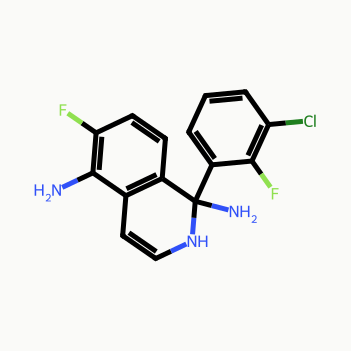 Nc1c(F)ccc2c1C=CNC2(N)c1cccc(Cl)c1F